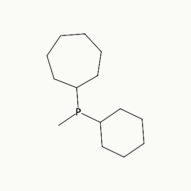 CP(C1CCCCCC1)C1CCCCC1